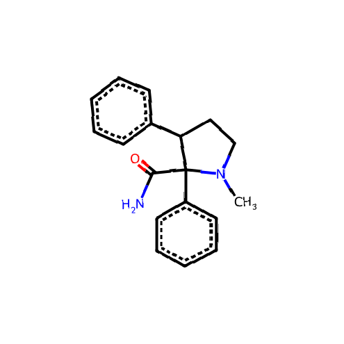 CN1CCC(c2ccccc2)C1(C(N)=O)c1ccccc1